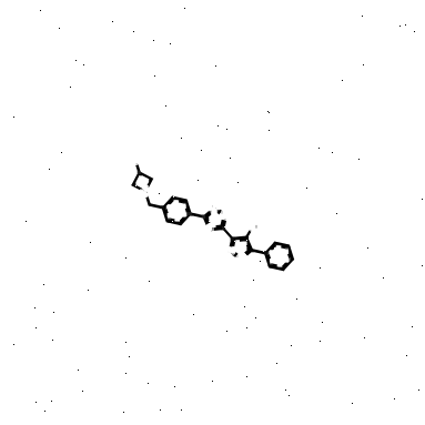 CCCc1c(-c2nc(-c3ccc(CN4CC(C(=O)O)C4)cc3)no2)noc1-c1ccccc1